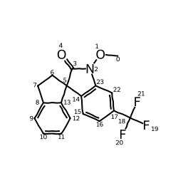 CON1C(=O)C2(CCc3ccccc32)c2ccc(C(F)(F)F)cc21